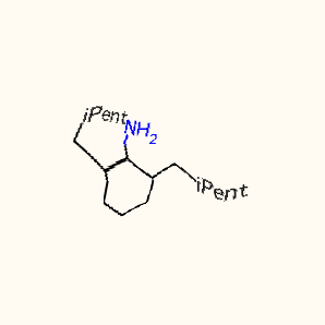 CCCC(C)CC1CCCC(CC(C)CCC)C1N